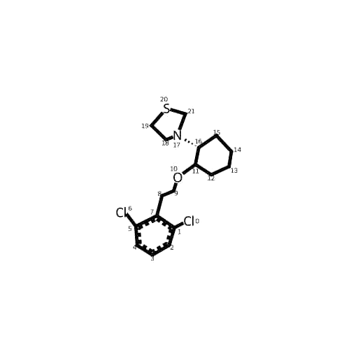 Clc1cccc(Cl)c1CCOC1CCCC[C@H]1N1CCSC1